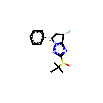 CC(C)(C)[S+]([O-])c1nc2n(n1)[C@H](c1ccccc1)C[C@@H]2F